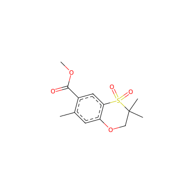 COC(=O)c1cc2c(cc1C)OCC(C)(C)S2(=O)=O